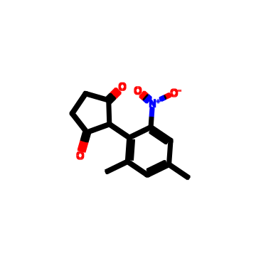 Cc1cc(C)c(C2C(=O)CCC2=O)c([N+](=O)[O-])c1